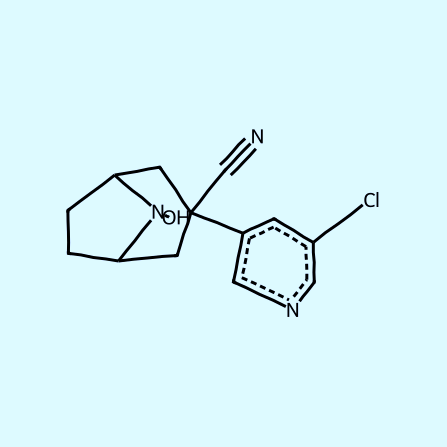 N#CC1(c2cncc(Cl)c2)CC2CCC(C1)N2O